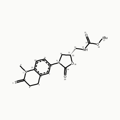 CN1C(=S)CCc2cc(N3C[C@H](CNC(=O)OC(C)(C)C)OC3=O)ccc21